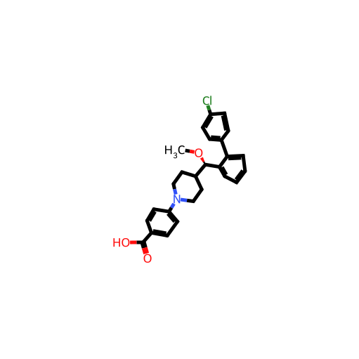 CO[C@@H](c1ccccc1-c1ccc(Cl)cc1)C1CCN(c2ccc(C(=O)O)cc2)CC1